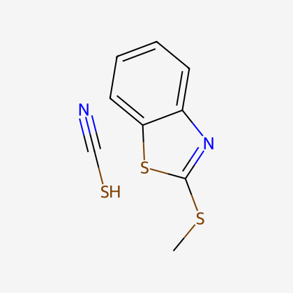 CSc1nc2ccccc2s1.N#CS